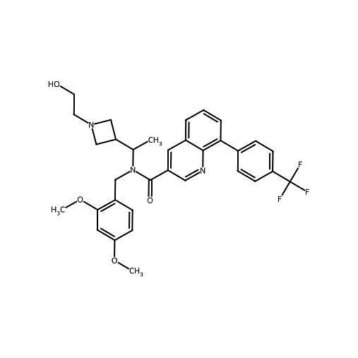 COc1ccc(CN(C(=O)c2cnc3c(-c4ccc(C(F)(F)F)cc4)cccc3c2)C(C)C2CN(CCO)C2)c(OC)c1